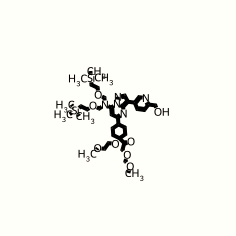 COCCOC1(C(=O)COCOC)CCC(c2cc(N(COCC[Si](C)(C)C)COCC[Si](C)(C)C)n3ncc(-c4ccc(CO)nc4)c3n2)CC1